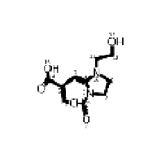 C/C=C(\C=C1/N(C=O)CCN1CCO)C(=O)O